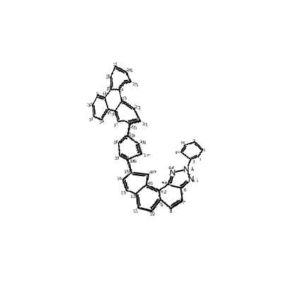 c1ccc(-n2nc3ccc4ccc5ccc(-c6ccc(-c7ccc8c9ccccc9c9ccccc9c8c7)cc6)cc5c4c3n2)cc1